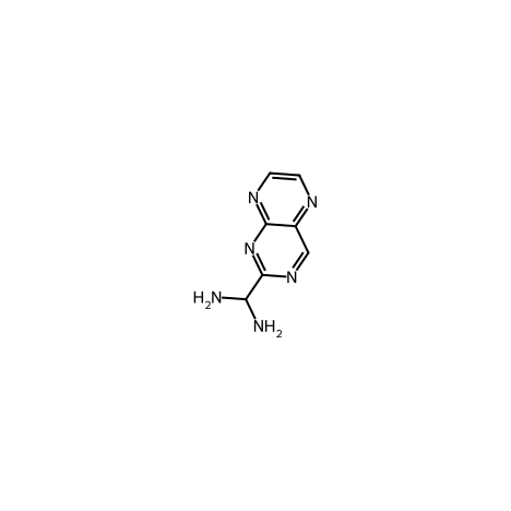 NC(N)c1ncc2nccnc2n1